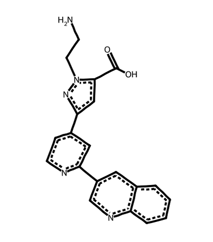 NCCn1nc(-c2ccnc(-c3cnc4ccccc4c3)c2)cc1C(=O)O